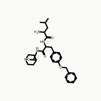 CC(C)CC(N)C(=O)NC(Cc1ccc(OCc2ccccc2)cc1)C(=O)NC1CN2CCC1CC2